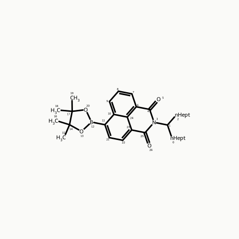 CCCCCCCC(CCCCCCC)N1C(=O)c2cccc3c(B4OC(C)(C)C(C)(C)O4)ccc(c23)C1=O